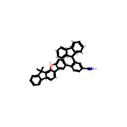 CC1(C)c2ccccc2-c2ccc3c(oc4ccc(-c5ccc(C#N)cc5C5c6ccccc6-c6ccccc65)cc43)c21